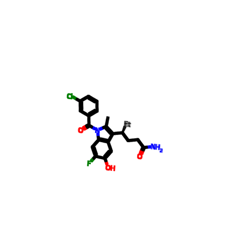 CC[C@@H](CCC(N)=O)c1c(C)n(C(=O)c2cccc(Cl)c2)c2cc(F)c(O)cc12